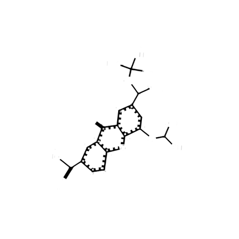 CC(C)Oc1cc(C(C)OC(C)(C)C)cc2c(=O)c3cc(C(=O)O)ccc3oc12